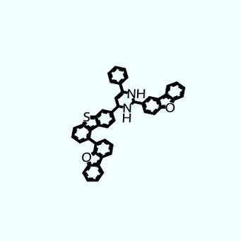 C1=C(c2ccccc2)NC(c2ccc3oc4ccccc4c3c2)NC1c1ccc2c(c1)sc1cccc(-c3cccc4c3oc3ccccc34)c12